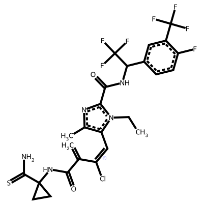 C=C(C(=O)NC1(C(N)=S)CC1)/C(Cl)=C\c1c(C)nc(C(=O)NC(c2ccc(F)c(C(F)(F)F)c2)C(F)(F)F)n1CC